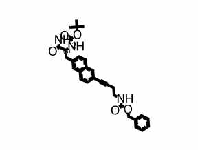 CC(C)(C)OC(=O)N[C@@H](Cc1ccc2cc(C#CCCNC(=O)OCc3ccccc3)ccc2c1)C(N)=O